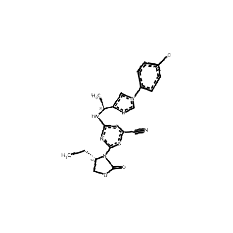 CC[C@H]1COC(=O)N1c1nc(C#N)nc(N[C@@H](C)c2cn(-c3ccc(Cl)cc3)cn2)n1